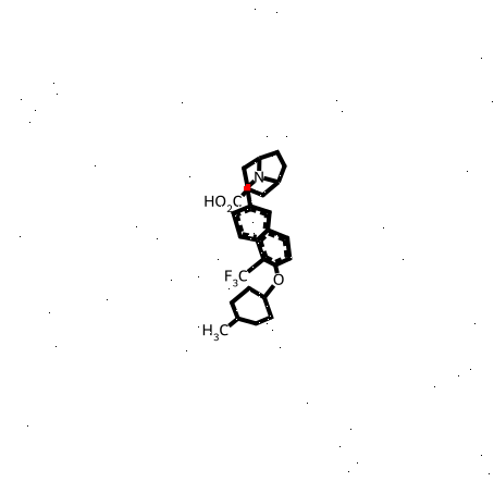 CC1CCC(Oc2ccc3cc(CN4C5CCC4CC(C(=O)O)C5)ccc3c2C(F)(F)F)CC1